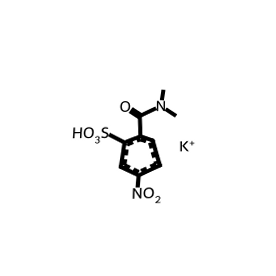 CN(C)C(=O)c1ccc([N+](=O)[O-])cc1S(=O)(=O)O.[K+]